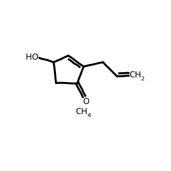 C.C=CCC1=CC(O)CC1=O